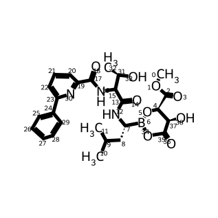 COC(=O)[C@@H]1OB([C@H](CC(C)C)NC(=O)C(NC(=O)c2cccc(-c3ccccc3)n2)[C@@H](C)O)OC(=O)[C@@H]1O